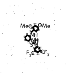 COc1ccc(CN[C@@H]2CCCC[C@H]2NC(=S)Nc2cc(C(F)(F)F)cc(C(F)(F)F)c2)c(OC)c1